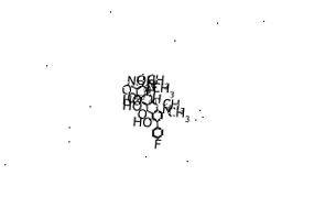 CN(C)c1cc(-c2ccc(F)cc2)c(O)c2c1C[C@H]1C[C@H]3[C@H](N(C)C)C(O)=C(C(N)=O)C(=O)[C@@]3(O)C(O)=C1C2=O